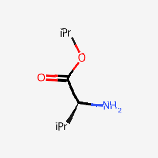 CC(C)OC(=O)[C@@H](N)C(C)C